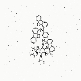 Bc1c(B)c(B)c(-n2c3ccccc3c3ccc(-c4ccc(N(c5cccc6c5oc5ccccc56)c5cccc6c5oc5ccccc56)cc4)cc32)c(B)c1B